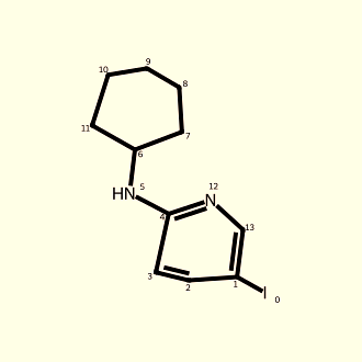 Ic1ccc(NC2CCCCC2)nc1